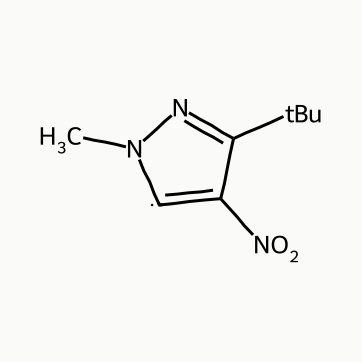 Cn1[c]c([N+](=O)[O-])c(C(C)(C)C)n1